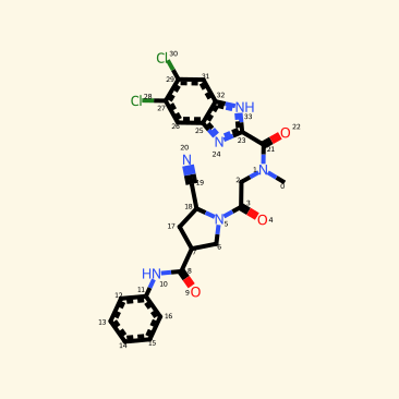 CN(CC(=O)N1CC(C(=O)Nc2ccccc2)CC1C#N)C(=O)c1nc2cc(Cl)c(Cl)cc2[nH]1